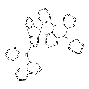 c1ccc(N(c2ccccc2)c2cccc3c2Oc2ccccc2C32c3ccccc3-c3cc(N(c4ccccc4)c4cccc5ccccc45)ccc32)cc1